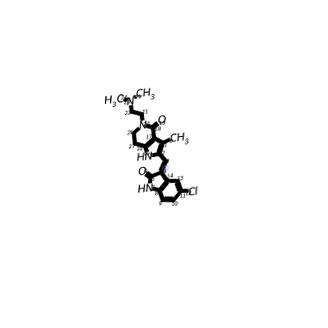 Cc1c(/C=C2\C(=O)Nc3ccc(Cl)cc32)[nH]c2c1C(=O)N(CCN(C)C)CC2